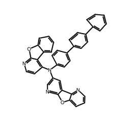 c1ccc(-c2ccc(-c3ccc(N(c4cnc5oc6cccnc6c5c4)c4ccnc5oc6ccccc6c45)cc3)cc2)cc1